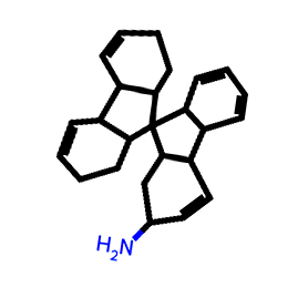 NC1C=CC2C3C=CC=CC3C3(C2C1)C1CCC=CC1C1C=CCCC13